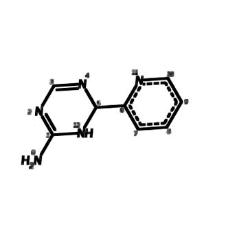 NC1=NC=NC(c2ccccn2)N1